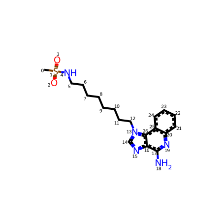 CS(=O)(=O)NCCCCCCCCn1cnc2c(N)nc3ccccc3c21